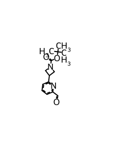 CC(C)(C)OC(=O)N1CC(c2cccc(C=O)n2)C1